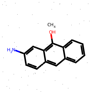 C.Nc1ccc2cc3ccccc3c(O)c2c1